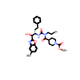 CC(C)CCN(C(=O)N[C@@H](CCc1ccccc1)C(O)c1nc2cc(C(C)(C)C)ccc2o1)C(=O)C1CCN(C(=O)OC(C)(C)C)CC1